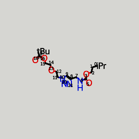 CC(C)CCOC(=O)NCc1cn(CCOCCOC(=O)C(C)(C)C)nn1